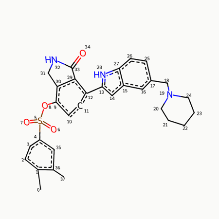 Cc1ccc(S(=O)(=O)Oc2ccc(-c3cc4cc(CN5CCCCC5)ccc4[nH]3)c3c2CNC3=O)cc1C